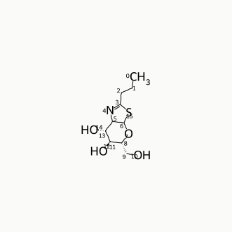 CCCC1=NC2C(O[C@H](CO)[C@@H](O)[C@@H]2O)S1